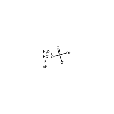 O.O=P([O-])(O)O.[Al+3].[F-].[OH-]